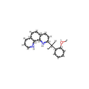 COc1ccccc1C(C)(C)c1ccc2ccc3cccnc3c2n1